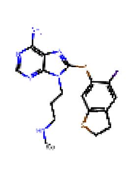 CC(C)(C)NCCCn1c(Sc2cc3c(cc2I)CCS3)nc2c(N)ncnc21